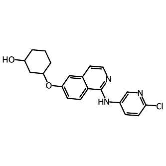 OC1CCCC(Oc2ccc3c(Nc4ccc(Cl)nc4)nccc3c2)C1